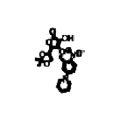 CC1(C)OCC(C2OC(=O)C(O)=C2OCc2cc(N3CCCCC3)ccc2[N+](=O)[O-])O1